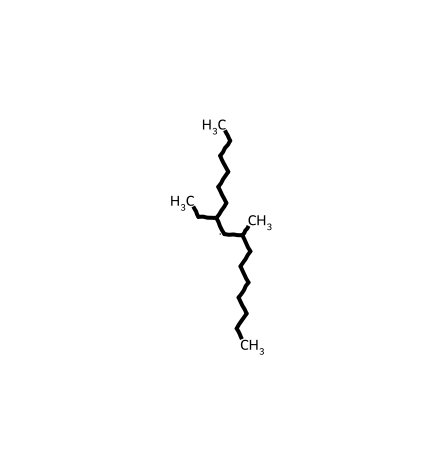 CCCCCCCC(C)[CH]C(CC)CCCCCC